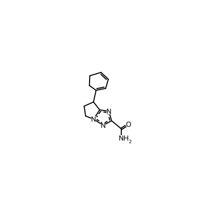 NC(=O)c1nc2n(n1)CCC2C1=CC=CCC1